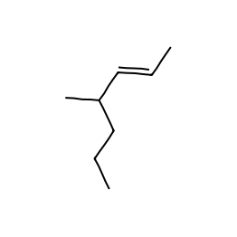 CC=CC(C)CCC